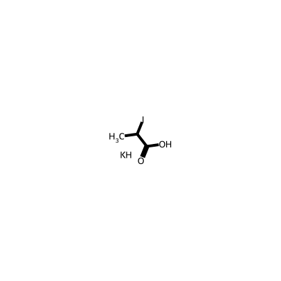 CC(I)C(=O)O.[KH]